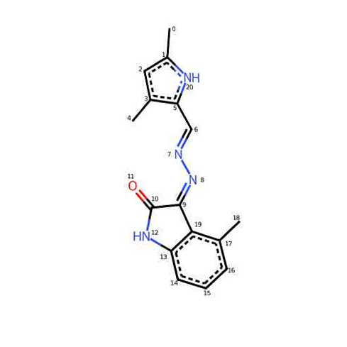 Cc1cc(C)c(/C=N/N=C2\C(=O)Nc3cccc(C)c32)[nH]1